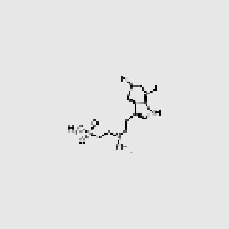 CN(CCc1c[nH]c2c(F)cc(F)cc12)CCS(C)(=O)=O